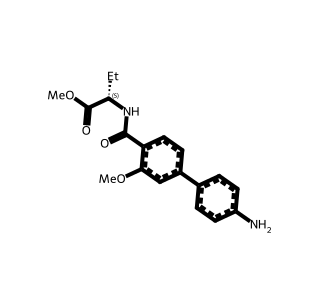 CC[C@H](NC(=O)c1ccc(-c2ccc(N)cc2)cc1OC)C(=O)OC